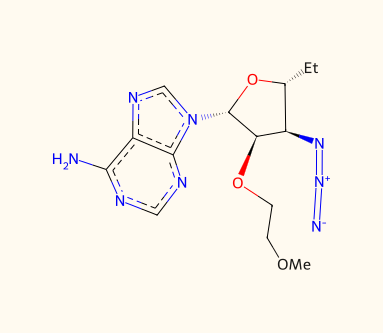 CC[C@H]1O[C@@H](n2cnc3c(N)ncnc32)[C@H](OCCOC)[C@@H]1N=[N+]=[N-]